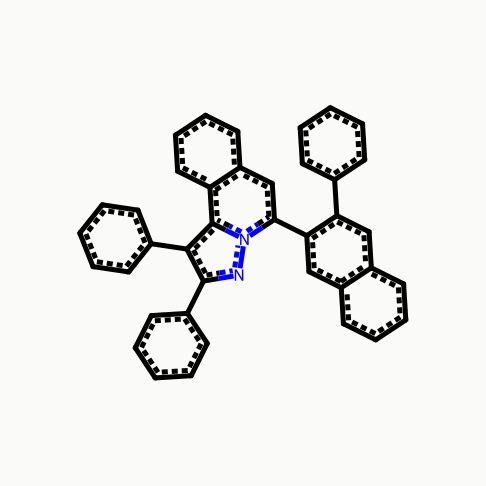 c1ccc(-c2cc3ccccc3cc2-c2cc3ccccc3c3c(-c4ccccc4)c(-c4ccccc4)nn23)cc1